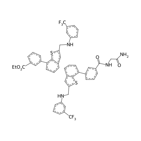 CCOC(=O)c1cccc(-c2cccc3cc(CNc4cccc(C(F)(F)F)c4)sc23)c1.NC(=O)CNC(=O)c1cccc(-c2cccc3cc(CNc4cccc(C(F)(F)F)c4)sc23)c1